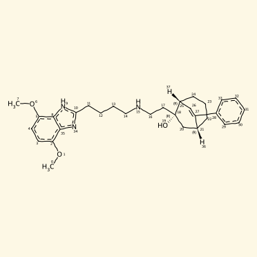 COc1ccc(OC)c2[nH]c(CCCCNCC[C@]3(O)C[C@H]4CCC[C@@H]3C=C4c3ccccc3)nc12